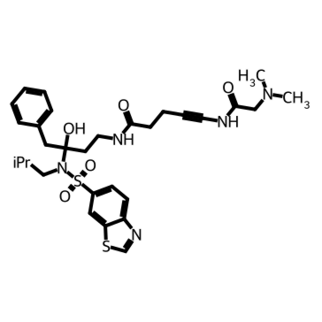 CC(C)CN(C(O)(CCNC(=O)CCC#CNC(=O)CN(C)C)Cc1ccccc1)S(=O)(=O)c1ccc2ncsc2c1